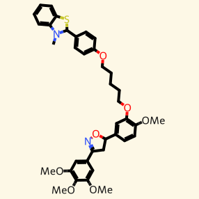 COc1ccc(C2CC(c3cc(OC)c(OC)c(OC)c3)=NO2)cc1OCCCCCOc1ccc(C2Sc3ccccc3N2C)cc1